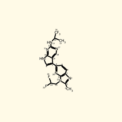 Cc1nc2ccc(-c3c[nH]c4nc(NC(C)C(F)(F)F)ncc34)nc2n1CC(F)F